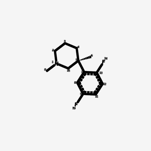 CN1CCC[C@@](C)(c2cc(F)ccc2F)C1